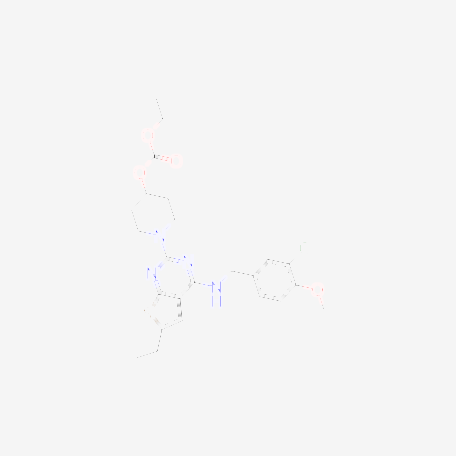 CCOC(=O)OC1CCN(c2nc(NCc3ccc(OC)c(Cl)c3)c3cc(CC)sc3n2)CC1